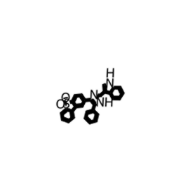 O=S1(=O)c2ccccc2-c2cc(-c3nc(C4=CNC5C=CC=CC45)[nH]c3-c3ccccc3)ccc21